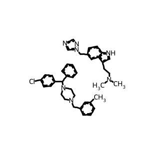 CN(C)CCc1c[nH]c2ccc(Cn3cncn3)cc12.Cc1cccc(CN2CCN(C(c3ccccc3)c3ccc(Cl)cc3)CC2)c1